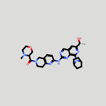 C[C@@H](O)c1cc2cnc(Nc3ccc4c(n3)CCN(C(=O)C3COCCN3C)C4)nc2c(N2C3CCC2CC3)n1